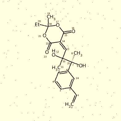 C=Cc1cccc([C@](C)(O)C(C)(O)C=C2C(=O)OC(C)(CC)OC2=O)c1